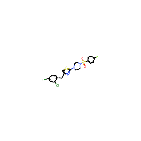 O=S(=O)(c1ccc(F)cc1)N1CCN(c2nc(Cc3ccc(Cl)cc3Cl)cs2)CC1